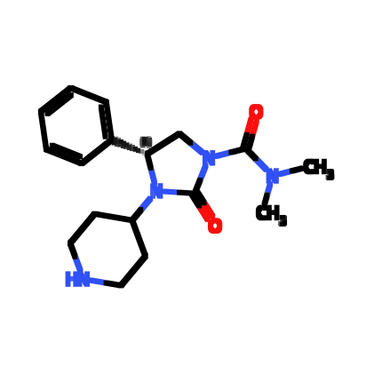 CN(C)C(=O)N1C[C@@H](c2ccccc2)N(C2CCNCC2)C1=O